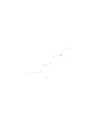 CCCCCC(=O)CCCC(N)N